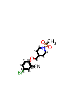 CS(=O)(=O)N1CCC(COc2ccc(Br)cc2C#N)CC1